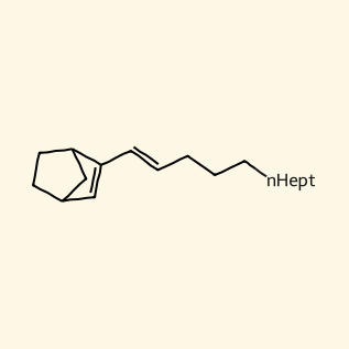 CCCCCCCCCCC=CC1=CC2CCC1C2